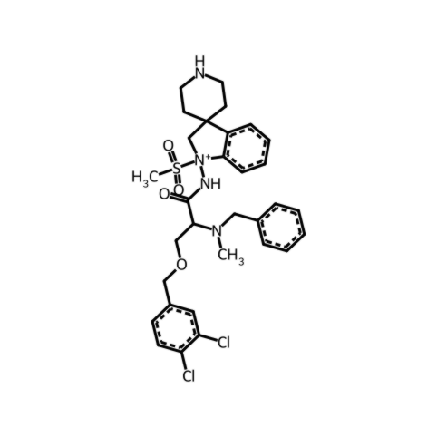 CN(Cc1ccccc1)C(COCc1ccc(Cl)c(Cl)c1)C(=O)N[N+]1(S(C)(=O)=O)CC2(CCNCC2)c2ccccc21